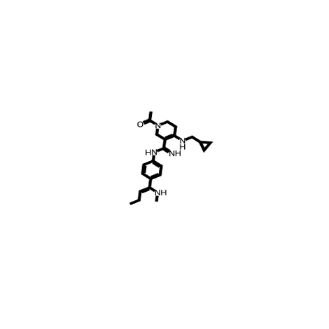 CC/C=C(\NC)c1ccc(NC(=N)C2=C(NCC3CC3)CCN(C(C)=O)C2)cc1